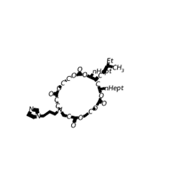 CCCCCCCC1CC(=C=C=C(C)CC)C(CCCCCCC)OC(=O)OCCOC(=O)CCN(CCCn2ccnc2)CCC(=O)OCCOC(=O)O1